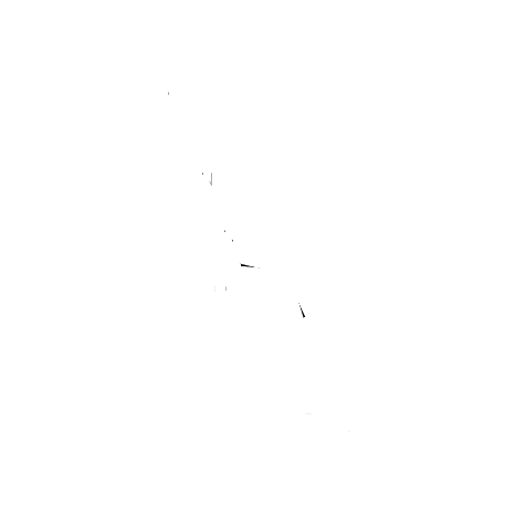 O=C([C@H]1C[C@H]1c1ccc(C(F)(F)F)cc1)N1CCN(C2CCOCC2)CC1